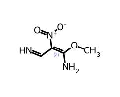 CO/C(N)=C(/C=N)[N+](=O)[O-]